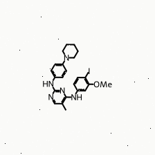 COc1cc(Nc2nc(Nc3ccc(N4CCCCC4)cc3)ncc2C)ccc1I